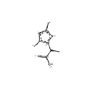 Cc1cc(C)n(C(C)C(=O)O)n1